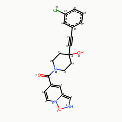 O=C(C1=CC2=CNON2C=C1)N1CCC(O)(C#Cc2cccc(Cl)c2)CC1